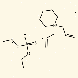 C=CC[N+]1(CC=C)CCCCC1.CCOP([O-])(=S)OCC